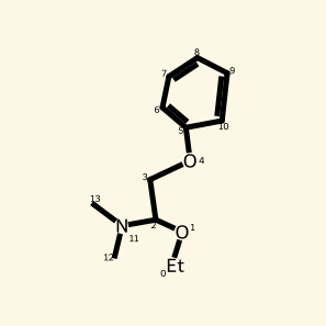 CCOC(COc1ccccc1)N(C)C